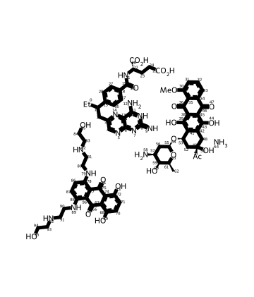 CCC(Cc1cnc2nc(=N)[nH]c(N)c2n1)c1ccc(C(=O)N[C@@H](CCC(=O)O)C(=O)O)cc1.COc1cccc2c1C(=O)c1c(O)c3c(c(O)c1C2=O)C[C@@](O)(C(C)=O)C[C@@H]3O[C@H]1C[C@H](N)[C@H](O)[C@H](C)O1.N.O=C1c2c(O)ccc(O)c2C(=O)c2c(NCCNCCO)ccc(NCCNCCO)c21